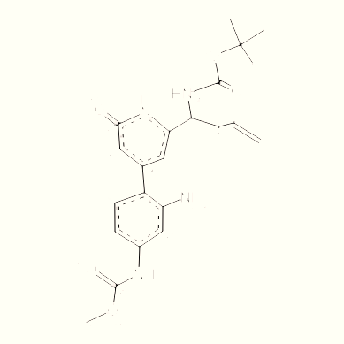 C=CCC(NC(=O)OC(C)(C)C)c1cc(-c2ccc(NC(=O)OC)cc2N)cc(=O)[nH]1